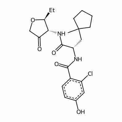 CC[C@@H]1OCC(=O)[C@H]1NC(=O)[C@H](CC1(C)CCCC1)NC(=O)c1ccc(O)cc1Cl